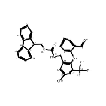 O=Cc1ccccc1Sc1c(CNC(=O)OCC2c3ccccc3-c3ccccc32)cc(Cl)cc1C(F)(F)F